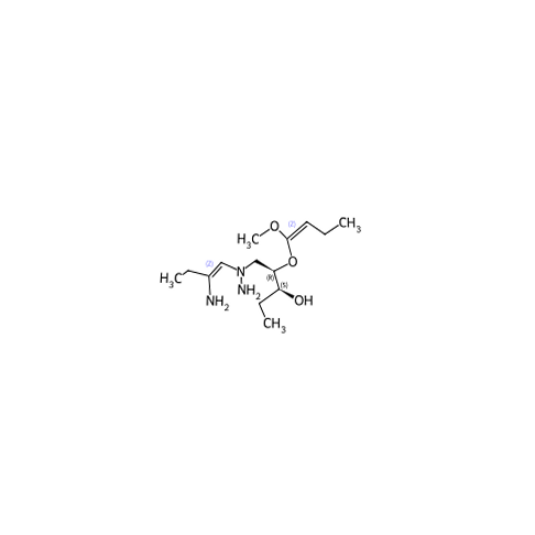 CC/C=C(/OC)O[C@H](CN(N)/C=C(\N)CC)[C@@H](O)CC